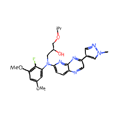 COc1cc(OC)c(F)c(N(CC(O)COC(C)C)c2ccc3ncc(-c4cnn(C)c4)nc3n2)c1